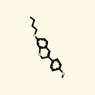 CCCCOc1ccc2c(c1)OCC(c1ccc(OC)cc1)=C2